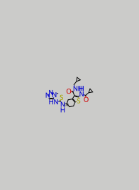 Cn1nncc1NC(=S)N[C@H]1CCc2sc(NC(=O)C3CC3)c(C(=O)NCC3CC3)c2C1